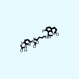 O=C1CSc2ccc(-n3nc(CCCN[C@@H]4Cn5c(=O)ccc6ccc(F)c4c65)oc3=O)nc2N1